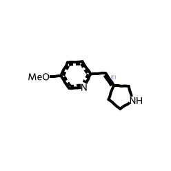 COc1ccc(/C=C2\CCNC2)nc1